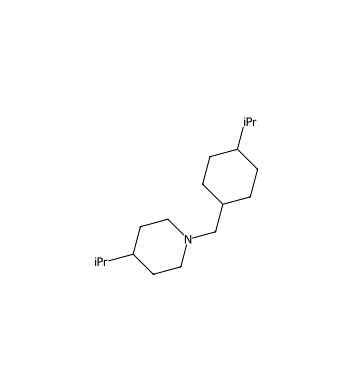 CC(C)C1CCC(CN2CCC(C(C)C)CC2)CC1